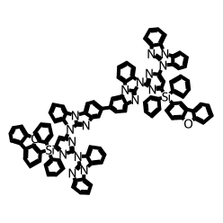 c1ccc([Si](c2ccccc2)(c2ccc3oc4ccccc4c3c2)c2cc(-n3c4ccccc4n4c5ccccc5nc34)nc(-n3c4ccccc4n4c5cc(-c6ccc7c(c6)nc6n(-c8cc([Si](c9ccccc9)(c9ccccc9)c9cccc%10c9oc9ccccc9%10)nc(-n9c%10ccccc%10n%10c%11ccccc%11nc9%10)n8)c8ccccc8n76)ccc5nc34)n2)cc1